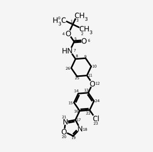 CC(C)(C)OC(=O)NC1CCC(Oc2ccc(-c3ncon3)c(Cl)c2)CC1